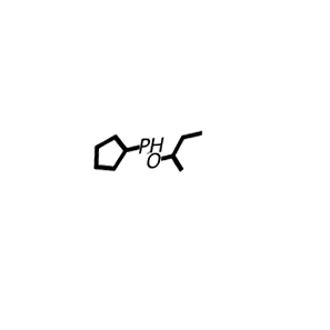 CCC(C)OPC1CCCC1